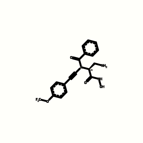 NC[C@@H](C(=O)NO)N(C#Cc1ccc(OC(F)(F)F)cc1)C(=O)c1ccccc1